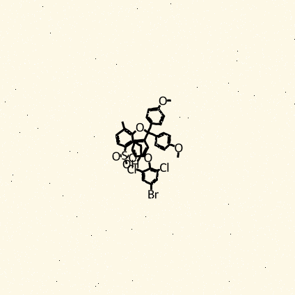 COc1ccc(C(Oc2c(C)ccc(S(=O)(=O)O)c2CC(C)Oc2c(Cl)cc(Br)cc2Cl)(c2ccccc2)c2ccc(OC)cc2)cc1